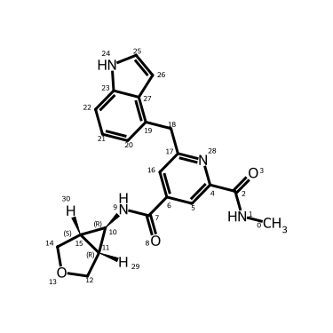 CNC(=O)c1cc(C(=O)N[C@H]2[C@@H]3COC[C@@H]32)cc(Cc2cccc3[nH]ccc23)n1